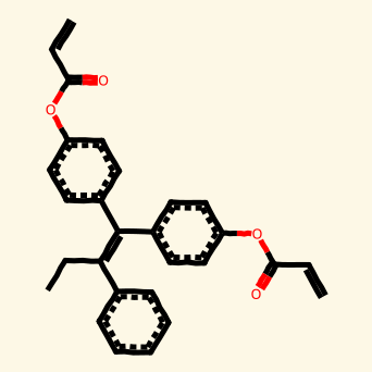 C=CC(=O)Oc1ccc(C(=C(CC)c2ccccc2)c2ccc(OC(=O)C=C)cc2)cc1